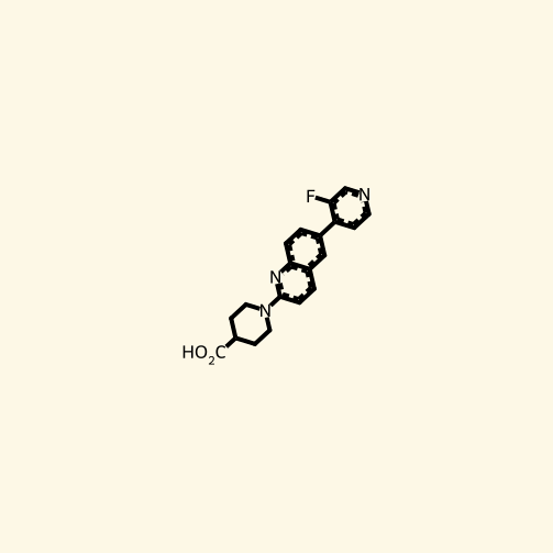 O=C(O)C1CCN(c2ccc3cc(-c4ccncc4F)ccc3n2)CC1